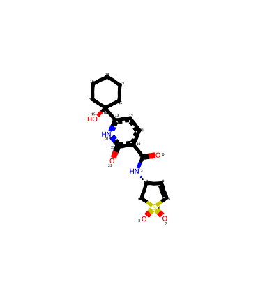 O=C(N[C@@H]1C=CS(=O)(=O)C1)c1ccc(C2(O)CCCCC2)[nH]c1=O